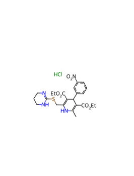 CCOC(=O)C1=C(C)NC(CSC2=NCCCN2)=C(C(=O)OCC)C1c1cccc([N+](=O)[O-])c1.Cl